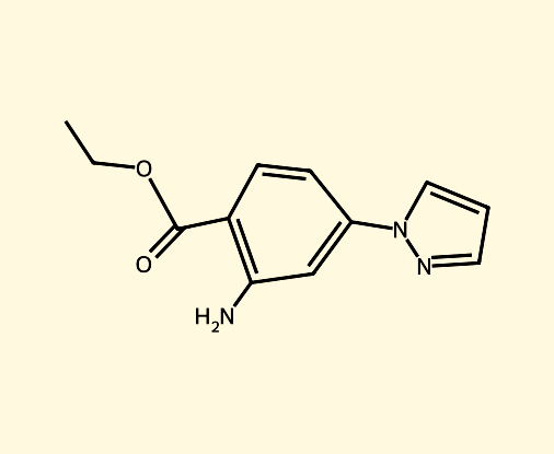 CCOC(=O)c1ccc(-n2cccn2)cc1N